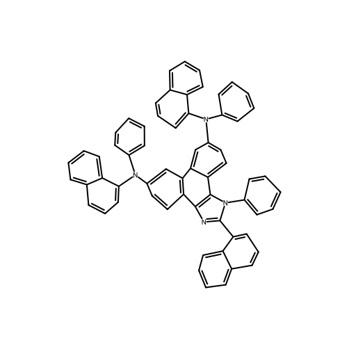 c1ccc(N(c2ccc3c(c2)c2cc(N(c4ccccc4)c4cccc5ccccc45)ccc2c2c3nc(-c3cccc4ccccc34)n2-c2ccccc2)c2cccc3ccccc23)cc1